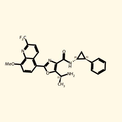 COc1ccc(-c2nc(C(=O)N[C@@H]3C[C@H]3c3ccccc3)c([C@H](C)N)o2)c2ccc(C(F)(F)F)nc12